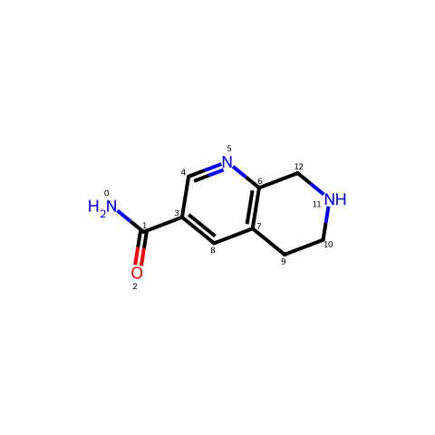 NC(=O)c1cnc2c(c1)CCNC2